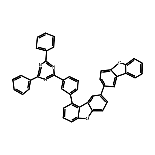 c1ccc(-c2nc(-c3ccccc3)nc(-c3cccc(-c4cccc5oc6ccc(-c7ccc8oc9ccccc9c8c7)cc6c45)c3)n2)cc1